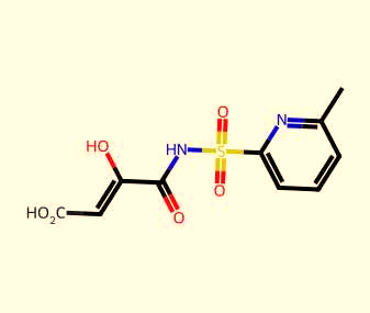 Cc1cccc(S(=O)(=O)NC(=O)C(O)=CC(=O)O)n1